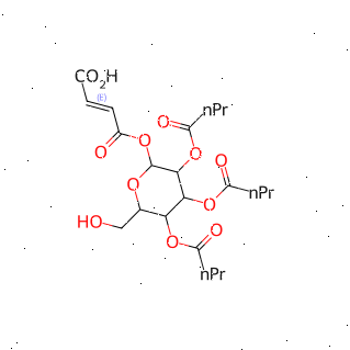 CCCC(=O)OC1C(CO)OC(OC(=O)/C=C/C(=O)O)C(OC(=O)CCC)C1OC(=O)CCC